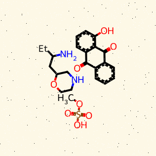 CCC(N)CC1CNCCO1.COS(=O)(=O)O.O=C1c2ccccc2C(=O)c2c(O)cccc21